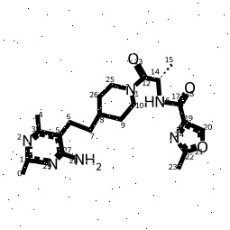 Cc1nc(C)c(CCC2CCN(C(=O)[C@H](C)NC(=O)c3coc(C)n3)CC2)c(N)n1